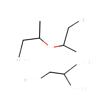 CCCCCCCCCCCC(C)OC(C)CCCCCCCCCCC.O=C(O)CC(C(=O)O)S(=O)(=O)O